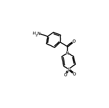 Nc1ccc(C(=O)N2C=CS(=O)(=O)C=C2)cc1